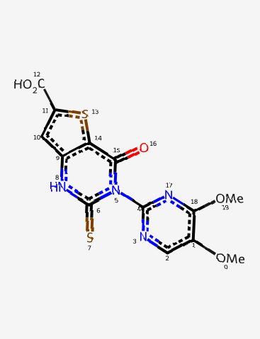 COc1cnc(-n2c(=S)[nH]c3cc(C(=O)O)sc3c2=O)nc1OC